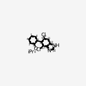 CC(C)Oc1ccccc1-c1c(Cl)cc2[nH][c]nc2c1Cl